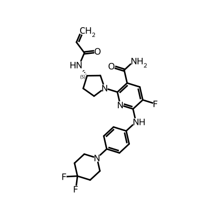 C=CC(=O)N[C@H]1CCN(c2nc(Nc3ccc(N4CCC(F)(F)CC4)cc3)c(F)cc2C(N)=O)C1